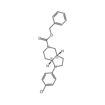 O=C(OCc1ccccc1)N1CC[C@@H]2[C@@H](CCN2c2ccc(Cl)cc2)C1